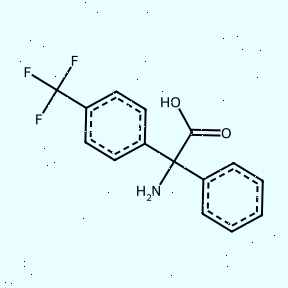 NC(C(=O)O)(c1ccccc1)c1ccc(C(F)(F)F)cc1